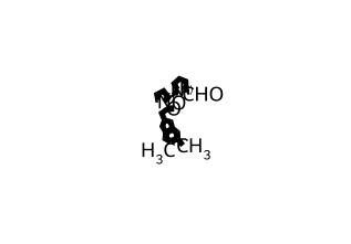 Cc1cc2c(cc1C)CC(CC(=O)N1CCC[C@H]1C(=O)N1CCC[C@H]1C=O)C2